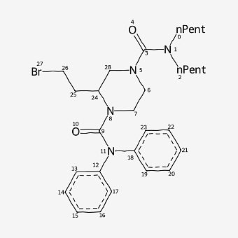 CCCCCN(CCCCC)C(=O)N1CCN(C(=O)N(c2ccccc2)c2ccccc2)C(CCBr)C1